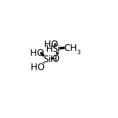 C[SiH](O)O[SiH](O)O